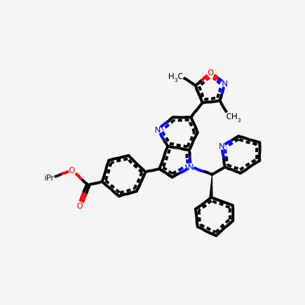 Cc1noc(C)c1-c1cnc2c(-c3ccc(C(=O)OC(C)C)cc3)cn([C@H](c3ccccc3)c3ccccn3)c2c1